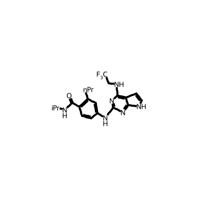 CCCc1cc(Nc2nc(NCC(F)(F)F)c3cc[nH]c3n2)ccc1C(=O)NC(C)C